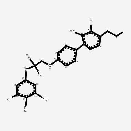 CCCc1ccc(-c2ccc(OCC(F)(F)Oc3cc(F)c(F)c(F)c3)cc2)c(F)c1F